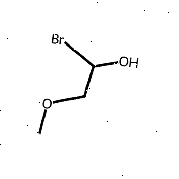 COCC(O)Br